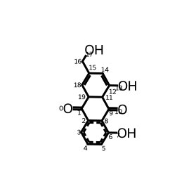 O=C1c2cccc(O)c2C(=O)C2C(O)=CC(CO)=CC12